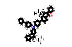 CC1(C)c2ccccc2-c2cc(N(c3ccc(-c4ccccc4)cc3)c3ccc(-c4ccc5c(c4)C(C)(C)c4c-5oc5ccccc45)cc3)ccc21